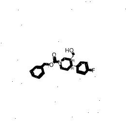 O=C(OCc1ccccc1)N1CC[C@@H](c2ccc(F)cc2)[C@@H](CO)C1